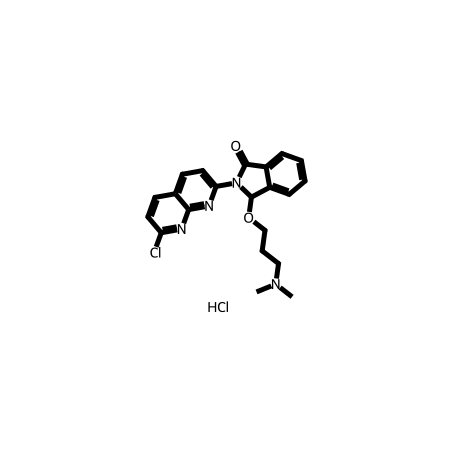 CN(C)CCCOC1c2ccccc2C(=O)N1c1ccc2ccc(Cl)nc2n1.Cl